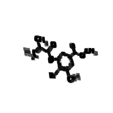 C=C(C)C(=O)Oc1cc(C(=O)OC)cc(O)c1Br